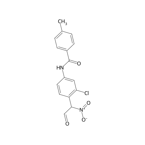 Cc1ccc(C(=O)Nc2ccc(C(C=O)[N+](=O)[O-])c(Cl)c2)cc1